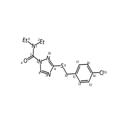 CCN(CC)C(=O)n1cnc(SCc2ccc(Cl)cc2)n1